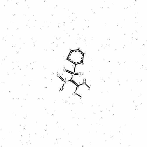 CN/C(SC)=C(/[N+](=O)[O-])S(=O)(=O)c1ccccc1